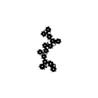 c1ccc(N(c2ccccc2)c2ccc(-c3cc(-c4cccc5c4sc4cccc(-c6cccc(N(c7ccccc7)c7ccc(-c8cc(-c9ccc%10oc%11ccccc%11c%10c9)c9sc%10ccccc%10c9c8)cc7)c6)c45)c4sc5ccccc5c4c3)cc2)cc1